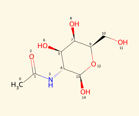 CC(=O)N[C@@H]1[C@@H](O)[C@@H](O)[C@@H](CO)O[C@H]1O